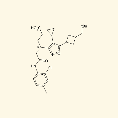 Cc1ccc(NC(=O)C[C@H](CCC(=O)O)c2noc(C3CC(CC(C)(C)C)C3)c2C2CC2)c(Cl)c1